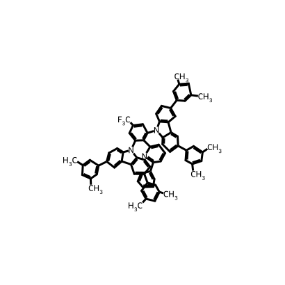 Cc1cc(C)cc(-c2ccc3c(c2)c2cc(-c4cc(C)cc(C)c4)ccc2n3-c2cc(C(F)(F)F)cc(-n3c4ccc(-c5cc(C)cc(C)c5)cc4c4cc(-c5cc(C)cc(C)c5)ccc43)c2-c2cccc(-c3ccccc3)n2)c1